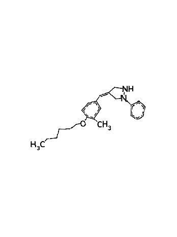 CCCCCCOc1ccc(C=C2CNN(c3ccccc3)C2)cc1C